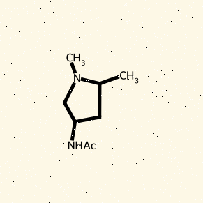 CC(=O)NC1CC(C)N(C)C1